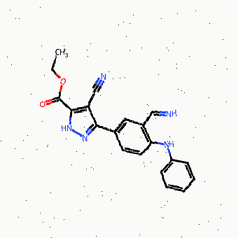 CCOC(=O)c1[nH]nc(-c2ccc(Nc3ccccc3)c(C=N)c2)c1C#N